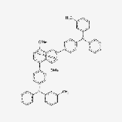 COc1c2cc(-c3ccc(N(c4ccccc4)c4cccc(C)c4)cc3)c3c(OC)c2c(-c2ccc(N(c4ccccc4)c4cccc(C)c4)cc2)cc13